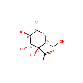 CC(=S)[C@]1(O)[C@H](O)[C@@H](O)[C@H](O)O[C@@H]1CO